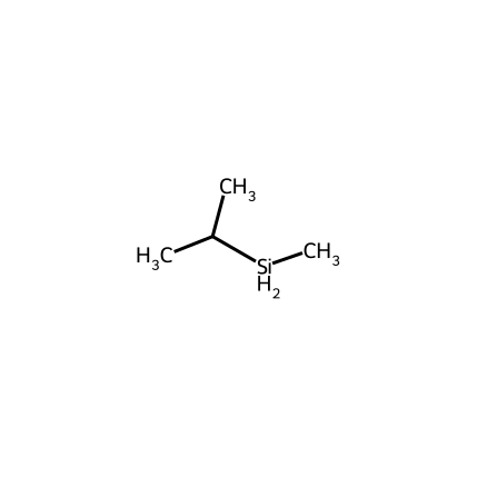 C[SiH2]C(C)C